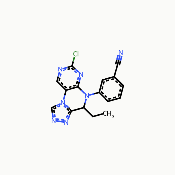 CCC1c2nncn2-c2cnc(Cl)nc2N1c1cccc(C#N)c1